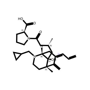 C=C/C=C1/C[C@H]2N(CC3CC3)CC[C@@](C)(C1=C)[C@@]2(O)C[C@@H](C)CC(=O)N1CCC[C@H]1C(=O)O